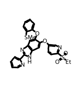 CCS(=O)(=O)c1ccc(Oc2cc3[nH]c(-c4ccccn4)nc3cc2Oc2ccccc2SC)cn1